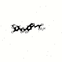 CCc1cc2c(cnn2CCC(CC)C(=O)O)cc1-c1noc(-c2cnc(OC(C)C)c(Cl)c2)n1